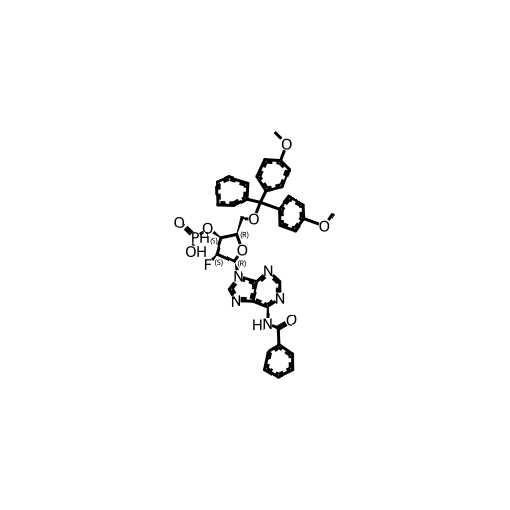 COc1ccc(C(OC[C@H]2O[C@@H](n3cnc4c(NC(=O)c5ccccc5)ncnc43)[C@@H](F)[C@H]2O[PH](=O)O)(c2ccccc2)c2ccc(OC)cc2)cc1